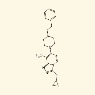 FC(F)(F)c1c(N2CCN(CCc3ccccc3)CC2)ccn2c(CC3CC3)nnc12